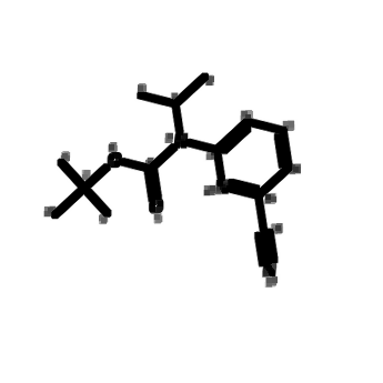 CC(C)N(C(=O)OC(C)(C)C)c1cccc(C#N)n1